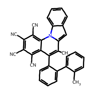 Cc1ccccc1-c1ccccc1-c1c(C)c2cc3ccccc3n2c2c(C#N)c(C#N)c(C#N)c(C#N)c12